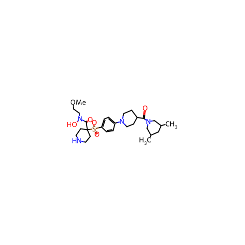 COCCN(O)C(=O)C1(S(=O)(=O)c2ccc(N3CCC(C(=O)N4CC(C)CC(C)C4)CC3)cc2)CCNCC1